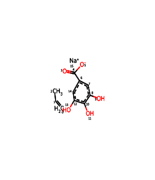 C=CC.O=C([O-])c1cc(O)c(O)c(O)c1.[Na+]